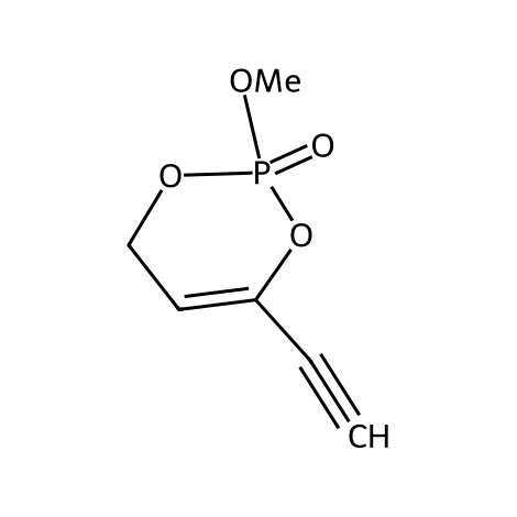 C#CC1=CCOP(=O)(OC)O1